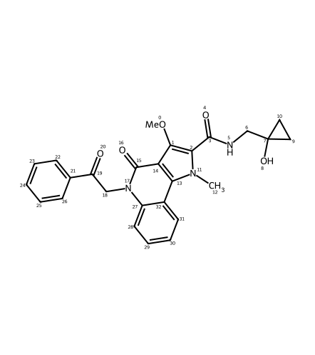 COc1c(C(=O)NCC2(O)CC2)n(C)c2c1c(=O)n(CC(=O)c1ccccc1)c1ccccc21